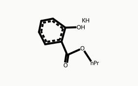 CCCOC(=O)c1ccccc1O.[KH]